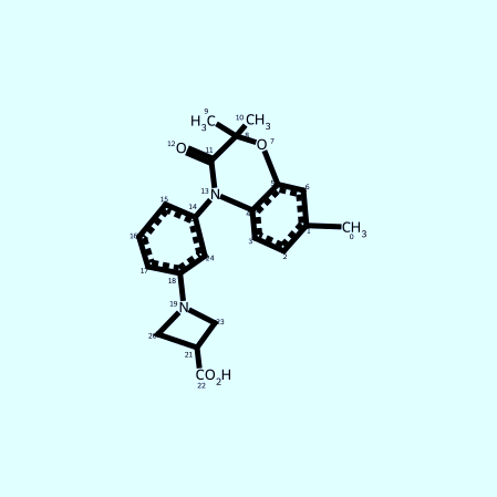 Cc1ccc2c(c1)OC(C)(C)C(=O)N2c1cccc(N2CC(C(=O)O)C2)c1